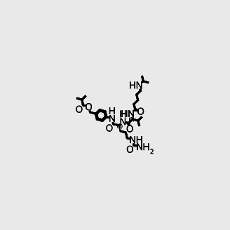 CC(C)NCCCCC(=O)N[C@H](C(=O)N[C@@H](CCCNC(N)=O)C(=O)Nc1ccc(COC(=O)C(C)C)cc1)C(C)C